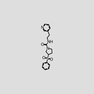 O=C(NCCc1cccnc1)N1CCC(S(=O)(=O)c2ccccc2)C1